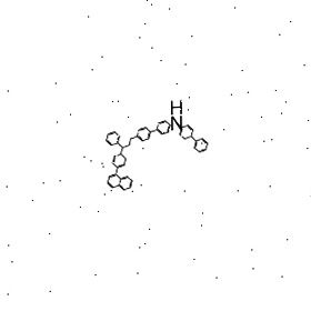 C1=CC(c2ccccc2)CC=C1Nc1ccc(-c2ccc(CCC(c3ccccc3)C3C=CC(c4cccc5ccccc45)=CC3)cc2)cc1